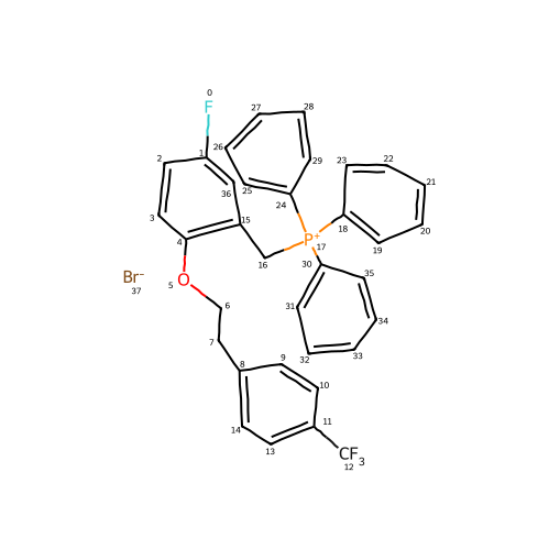 Fc1ccc(OCCc2ccc(C(F)(F)F)cc2)c(C[P+](c2ccccc2)(c2ccccc2)c2ccccc2)c1.[Br-]